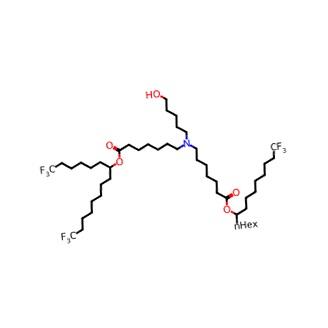 CCCCCCC(CCCCCCCC(F)(F)F)OC(=O)CCCCCCN(CCCCCO)CCCCCCC(=O)OC(CCCCCCCC(F)(F)F)CCCCCC(F)(F)F